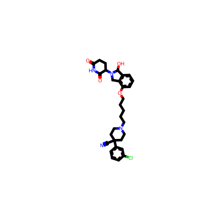 N#CC1(c2cccc(Cl)c2)CCN(CCCCCOc2cccc3c2CN(C2CCC(=O)NC2=O)C3O)CC1